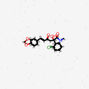 CN1C(=O)C(O)(CC(=O)/C=C/c2ccc3c(c2)OCO3)c2c(Cl)cccc21